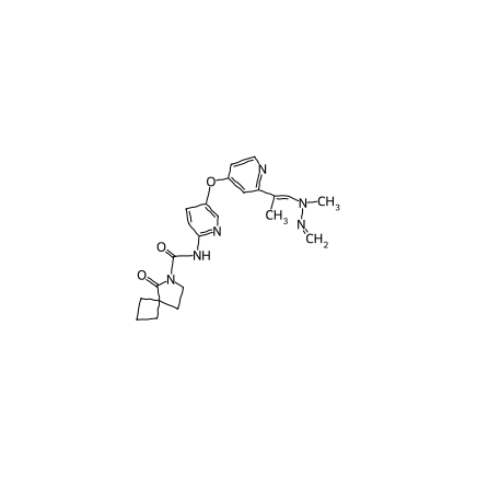 C=NN(C)/C=C(\C)c1cc(Oc2ccc(NC(=O)N3CCC4(CCC4)C3=O)nc2)ccn1